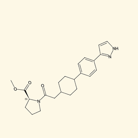 COC(=O)[C@@H]1CCCN1C(=O)CC1CCC(c2ccc(-c3cc[nH]n3)cc2)CC1